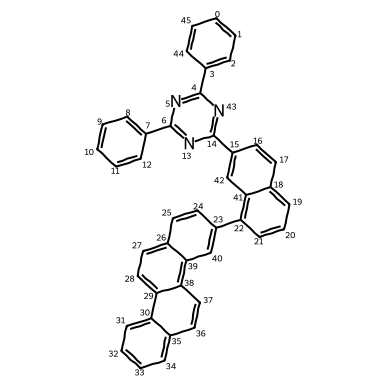 c1ccc(-c2nc(-c3ccccc3)nc(-c3ccc4cccc(-c5ccc6ccc7c8ccccc8ccc7c6c5)c4c3)n2)cc1